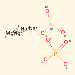 O=P([O-])([O-])[O-].[Mg+2].[Mg+2].[Na+].[Na+].[O-]B([O-])[O-]